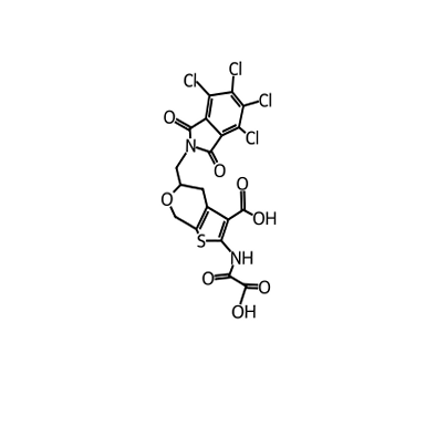 O=C(O)C(=O)Nc1sc2c(c1C(=O)O)CC(CN1C(=O)c3c(Cl)c(Cl)c(Cl)c(Cl)c3C1=O)OC2